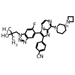 CC(C)(O)Cn1nnc2cc(-c3c(-c4ccc(C#N)cc4)nc4c(N5CCC[C@@H](N6CCC6)C5)nccn34)c(F)cc21